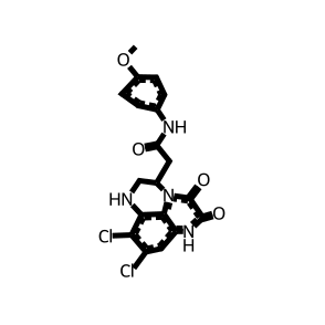 COc1ccc(NC(=O)CC2CNc3c(Cl)c(Cl)cc4[nH]c(=O)c(=O)n2c34)cc1